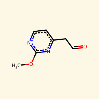 COc1nccc(CC=O)n1